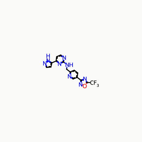 FC(F)(F)c1nc(-c2ccc(CNc3nccc(-c4ccn[nH]4)n3)nc2)no1